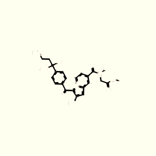 CCCCc1cc2cc(C(=O)N(CC(=O)OC(C)C)C(C)C)ccn2c1C(=O)c1ccc(C(CCN)(CCCC)CCCC)cc1